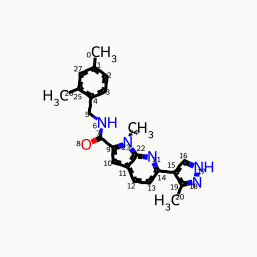 Cc1ccc(CNC(=O)c2cc3ccc(-c4c[nH]nc4C)nc3n2C)c(C)c1